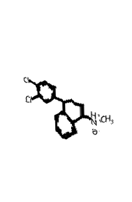 C[NH+]([O-])C1CCC(c2ccc(Cl)c(Cl)c2)c2ccccc21